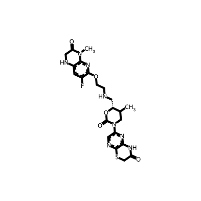 CC1CN(c2cnc3c(n2)NC(=O)CS3)C(=O)O[C@@H]1CNCCOc1nc2c(cc1F)NCC(=O)N2C